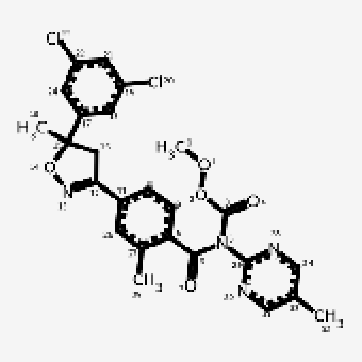 COOC(=O)N(C(=O)c1ccc(C2=NOC(C)(c3cc(Cl)cc(Cl)c3)C2)cc1C)c1ncc(C)cn1